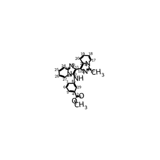 COC(=O)c1cccc(Nc2c(-c3nc(C)n4ccccc34)nc3ccccn23)c1